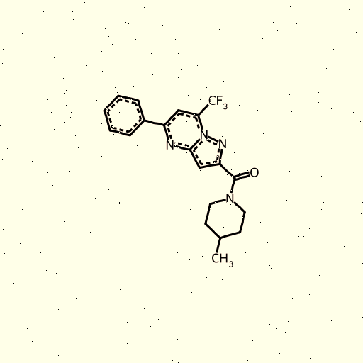 CC1CCN(C(=O)c2cc3nc(-c4ccccc4)cc(C(F)(F)F)n3n2)CC1